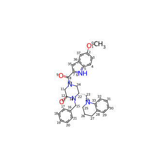 COc1ccc2[nH]c(C(=O)N3CC(=O)N(Cc4ccccc4)[C@@H](CN4CCCc5ccccc54)C3)cc2c1